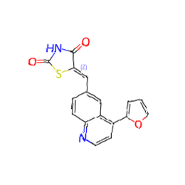 O=C1NC(=O)/C(=C/c2ccc3nccc(-c4ccco4)c3c2)S1